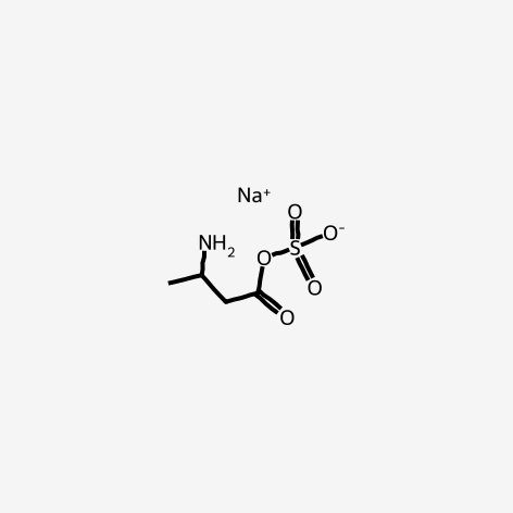 CC(N)CC(=O)OS(=O)(=O)[O-].[Na+]